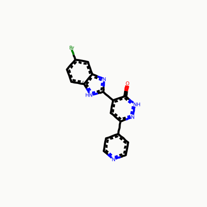 O=c1[nH]nc(-c2ccncc2)cc1-c1nc2cc(Br)ccc2[nH]1